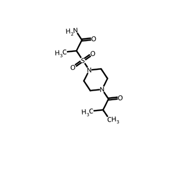 C[C](C)C(=O)N1CCN(S(=O)(=O)C(C)C(N)=O)CC1